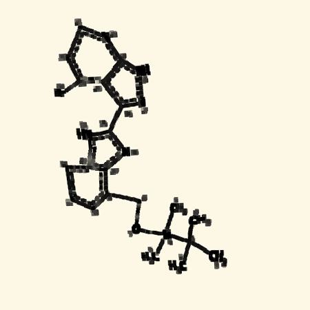 CC(C)(C)[Si](C)(C)OCc1cccc2[nH]c(-c3n[nH]c4nccc(Br)c34)nc12